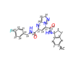 CC(=O)c1ccc2c(c1)CC[C@@H]2NC(=O)c1cc(C(=O)NCc2ccc(F)cc2)nc2ccnn12